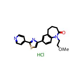 COCCN1C(=O)CCCc2cc(-c3csc(-c4ccncc4)n3)ccc21.Cl